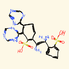 NC(=C(N)c1ccc(-c2ncncn2)c(-c2ncncn2)c1S(=O)(=O)O)c1ccccc1S(=O)(=O)O